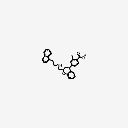 COC(=O)c1ccc(C2CC(CNCCc3cccc4ccccc34)Oc3ccccc32)cc1C